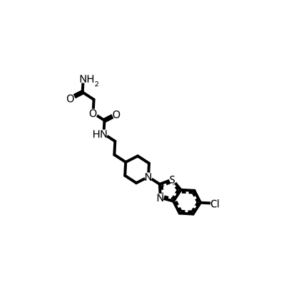 NC(=O)COC(=O)NCCC1CCN(c2nc3ccc(Cl)cc3s2)CC1